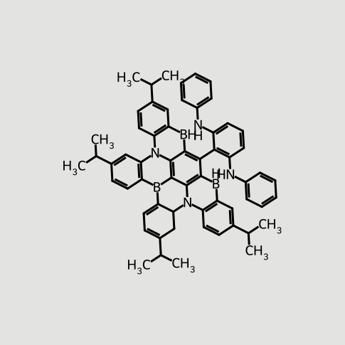 CC(C)C1=CC=C2B3c4ccc(C(C)C)cc4N4c5ccc(C(C)C)cc5Bc5c(-c6c(Nc7ccccc7)cccc6Nc6ccccc6)c6c(c3c54)N(c3ccc(C(C)C)cc3B6)C2C1